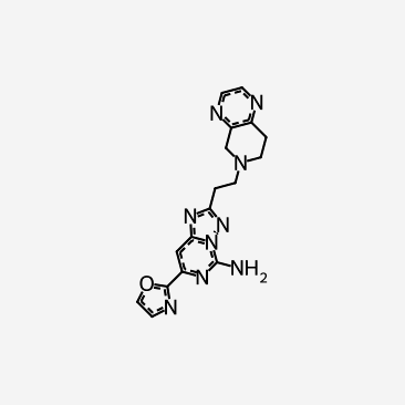 Nc1nc(-c2ncco2)cc2nc(CCN3CCc4nccnc4C3)nn12